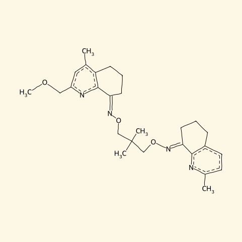 COCc1cc(C)c2c(n1)/C(=N/OCC(C)(C)CO/N=C1\CCCc3ccc(C)nc31)CCC2